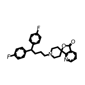 O=C1OC2(CCN(CCCC(c3ccc(F)cc3)c3ccc(F)cc3)CC2)c2ncccc21